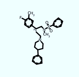 Cc1cc([C@@H](CCN2CCC(c3ccccc3)CC2)CN(C)S(=O)(=O)c2ccccc2)ccc1F